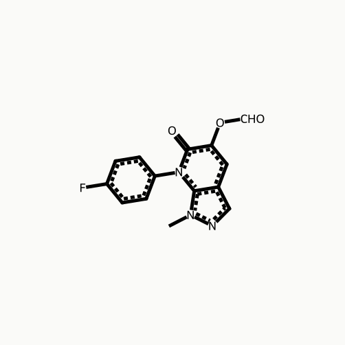 Cn1ncc2cc(OC=O)c(=O)n(-c3ccc(F)cc3)c21